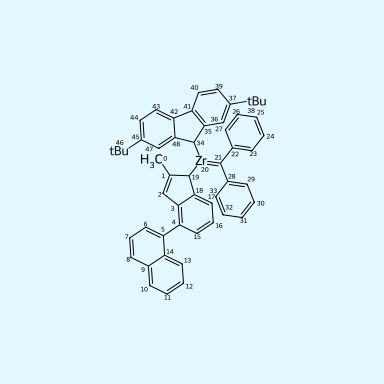 CC1=Cc2c(-c3cccc4ccccc34)cccc2[CH]1[Zr](=[C](c1ccccc1)c1ccccc1)[CH]1c2cc(C(C)(C)C)ccc2-c2ccc(C(C)(C)C)cc21